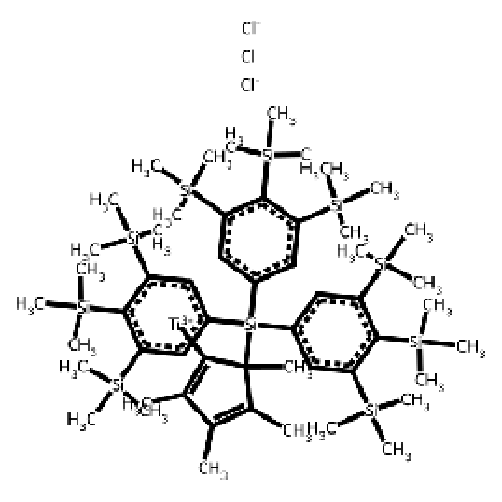 CC1=C(C)C(C)([Si](c2cc([Si](C)(C)C)c([Si](C)(C)C)c([Si](C)(C)C)c2)(c2cc([Si](C)(C)C)c([Si](C)(C)C)c([Si](C)(C)C)c2)c2cc([Si](C)(C)C)c([Si](C)(C)C)c([Si](C)(C)C)c2)[C]([Ti+3])=C1C.[Cl-].[Cl-].[Cl-]